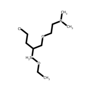 CCO[SiH2]C(CCCl)COCCN(C)C